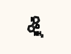 Nc1cccc2c1oc1cccnc12